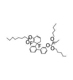 CCCCCCCC(=O)OC1=C(F)C(F)(c2ccccc2-c2cccc(OC(OCCCCC)[C@H](CC)OCCCCC)c2)CC=C1